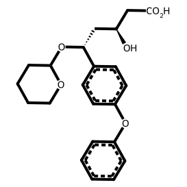 O=C(O)C[C@@H](O)C[C@@H](OC1CCCCO1)c1ccc(Oc2ccccc2)cc1